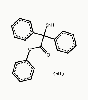 O=C(Oc1ccccc1)[C]([SnH])(c1ccccc1)c1ccccc1.[SnH2]